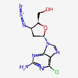 [N-]=[N+]=NC1C[C@H](n2cnc3c(Cl)nc(N)nc32)O[C@@H]1CO